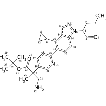 CCCC(C=O)n1ncc2c(C3CC3)c(-c3ccc(C(C)(CN)C(=O)OC(C)(C)C)cn3)ccc21